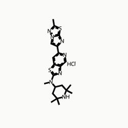 Cc1nn2cc(-c3cc4sc(N(C)C5CC(C)(C)NC(C)(C)C5)nc4cn3)nc2s1.Cl